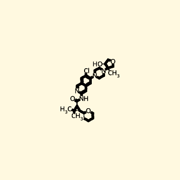 CC1(C)[C@@H]([C@H]2CCCCO2)[C@@H]1C(=O)Nc1cc2cc(N3CCN([C@@]4(C)COC[C@H]4O)CC3)c(Cl)cc2cn1